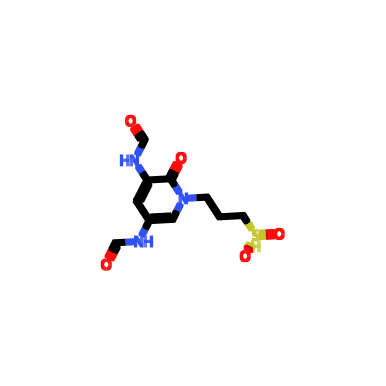 O=CNc1cc(NC=O)c(=O)n(CCC[SH](=O)=O)c1